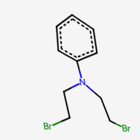 BrCCN(CCBr)c1ccccc1